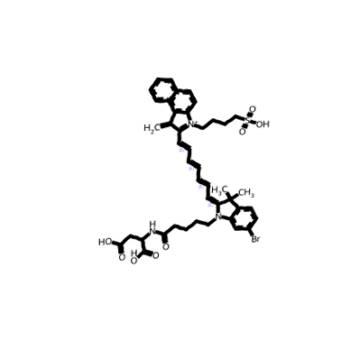 C=C1C(/C=C/C=C/C=C/C=C2/N(CCCCC(=O)NC(CC(=O)O)C(=O)O)c3cc(Br)ccc3C2(C)C)=[N+](CCCCS(=O)(=O)O)c2ccc3ccccc3c21